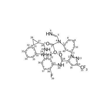 CCCCCCOC(=O)N(C=N)c1cccc(-n2nc(C(F)(F)F)cc2C(=O)Nc2cc(C(NCC3CC3)c3ccccc3)ccc2F)c1